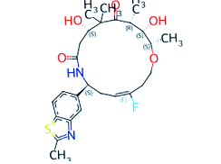 Cc1nc2cc([C@@H]3C/C=C(/F)CCO[C@@H](C)[C@@H](O)[C@@H](C)C(=O)C(C)(C)[C@@H](O)CC(=O)N3)ccc2s1